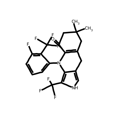 CC1(C)CC(=O)C2=C(Cc3c[nH]c(C(F)(F)F)c3N2c2cccc(F)c2C(F)(F)F)C1